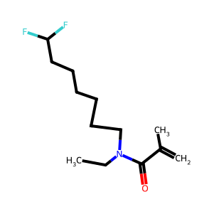 C=C(C)C(=O)N(CC)CCCCCCC(F)F